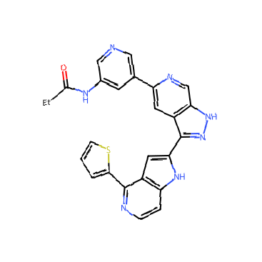 CCC(=O)Nc1cncc(-c2cc3c(-c4cc5c(-c6cccs6)nccc5[nH]4)n[nH]c3cn2)c1